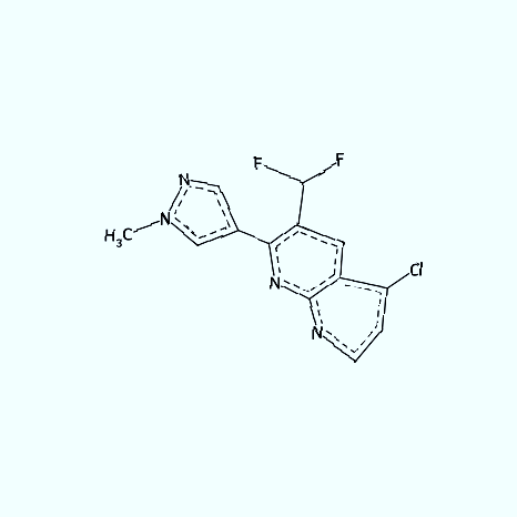 Cn1cc(-c2nc3nccc(Cl)c3cc2C(F)F)cn1